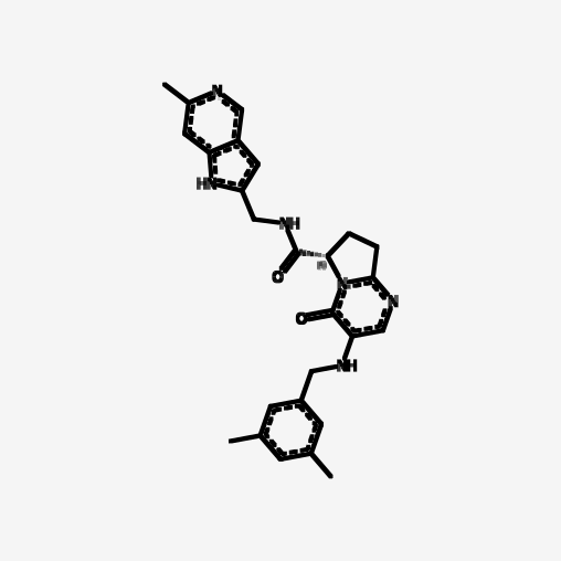 Cc1cc(C)cc(CNc2cnc3n(c2=O)[C@H](C(=O)NCc2cc4cnc(C)cc4[nH]2)CC3)c1